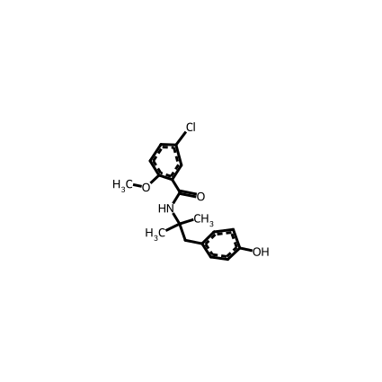 COc1ccc(Cl)cc1C(=O)NC(C)(C)Cc1ccc(O)cc1